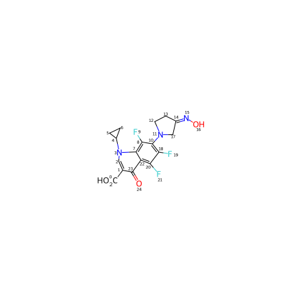 O=C(O)c1cn(C2CC2)c2c(F)c(N3CCC(=NO)C3)c(F)c(F)c2c1=O